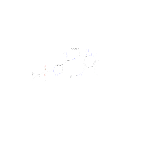 CC(C)NC1=CC(N)(c2ccnc(-c3cnn(S(=O)(=O)C4CC4)c3)n2)NC=C1F